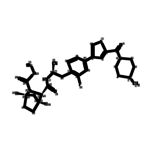 CN1CCN(C(=O)c2cc(-c3ccc(C[C@@H](C#N)NC(=O)[C@@H]4[C@H]5CC[C@H](C5)N4C(=O)OC(C)(C)C)c(F)c3)cs2)CC1